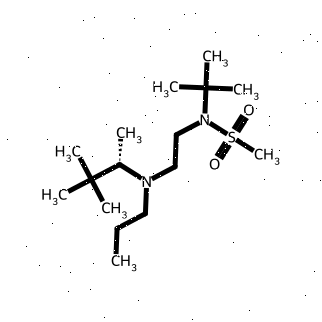 CCCN(CCN(C(C)(C)C)S(C)(=O)=O)[C@@H](C)C(C)(C)C